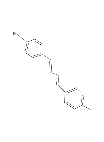 CCc1ccc(C=CC=Cc2ccc(C)cc2)cc1